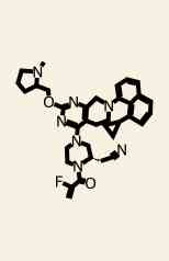 C=C(F)C(=O)N1CCN(c2nc(OCC3CCCN3C)nc3c2CCN(c2cccc4cccc(C5CC5)c24)C3)C[C@@H]1CC#N